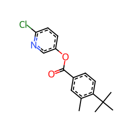 Cc1cc(C(=O)Oc2ccc(Cl)nc2)ccc1C(C)(C)C